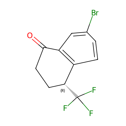 O=C1CC[C@@H](C(F)(F)F)c2ccc(Br)cc21